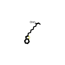 C/C=C(/C=O)CCCCCCc1cc2ccccc2s1